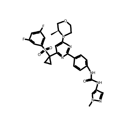 C[C@H]1COCCN1c1cc(C2(S(=O)(=O)c3cc(F)cc(F)c3)CC2)nc(-c2ccc(NC(=O)Nc3cnn(C)c3)cc2)n1